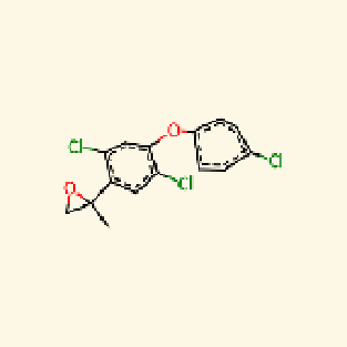 CC1(c2cc(Cl)c(Oc3ccc(Cl)cc3)cc2Cl)CO1